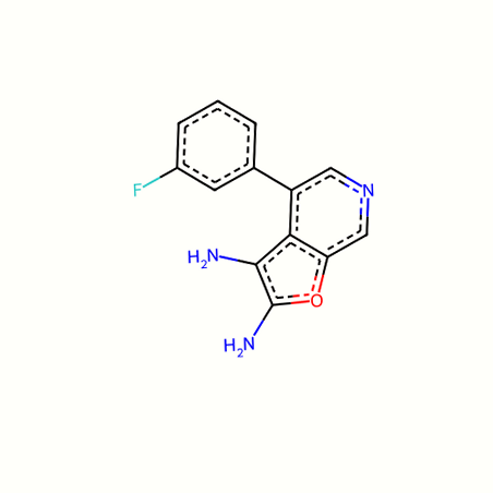 Nc1oc2cncc(-c3cccc(F)c3)c2c1N